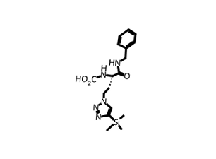 C[Si](C)(C)c1cn(CC[C@H](NC(=O)O)C(=O)NCc2ccccc2)nn1